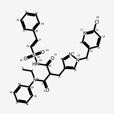 CCN(C(=O)C(Cc1cnn(Cc2ccc(Cl)nc2)c1)C(=O)NS(=O)(=O)/C=C/c1ccccc1)c1ccccc1